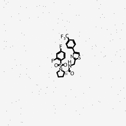 O=C(NCc1nc(-c2ccc(C(F)(F)F)cc2)cs1)[C@@H]1CCCN1S(=O)(=O)c1ccc(F)cc1F